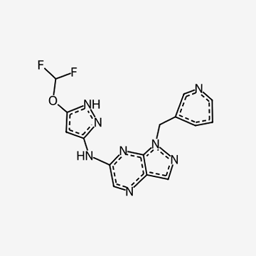 FC(F)Oc1cc(Nc2cnc3cnn(Cc4cccnc4)c3n2)n[nH]1